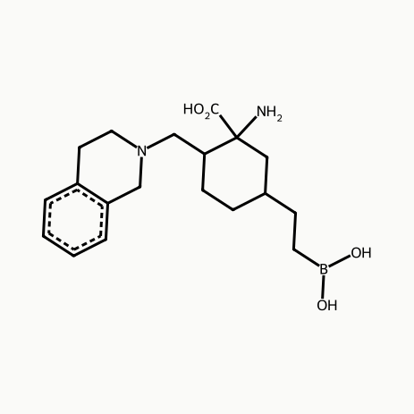 NC1(C(=O)O)CC(CCB(O)O)CCC1CN1CCc2ccccc2C1